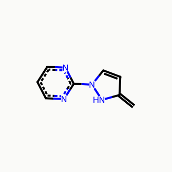 C=C1C=CN(c2ncccn2)N1